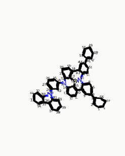 c1ccc(-c2ccc3c(c2)-c2cccc4c2B2c5c(cccc5N4c4cccc(-n5c6ccccc6c6ccccc65)c4)-c4cc(-c5ccccc5)ccc4N23)cc1